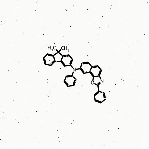 CC1(C)c2ccccc2-c2cc(N(c3ccccc3)c3ccc4ccc5nc(-c6ccccc6)oc5c4c3)ccc21